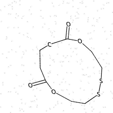 O=C1CCCC(=O)OCCSSCCO1